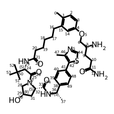 Cc1ccc(OC[C@@H](N)CCC(N)=O)cc1CCCCCC(=O)N[C@H](C(=O)N1C[C@H](O)C[C@H]1C(=O)N[C@@H](C)c1ccc(-c2scnc2C)cc1)C(C)(C)C